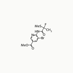 COC(=O)c1cnc(NC(=O)C(C)(F)SC)c(Br)c1